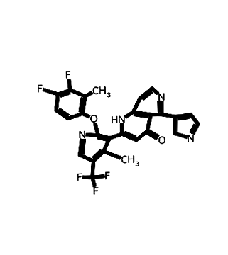 Cc1c(Oc2ncc(C(F)(F)F)c(C)c2-c2cc(=O)c3c(C4=CC=NC4)nccc3[nH]2)ccc(F)c1F